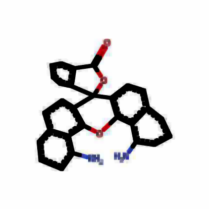 Nc1cccc2ccc3c(c12)Oc1c(ccc2cccc(N)c12)C31OC(=O)c2ccccc21